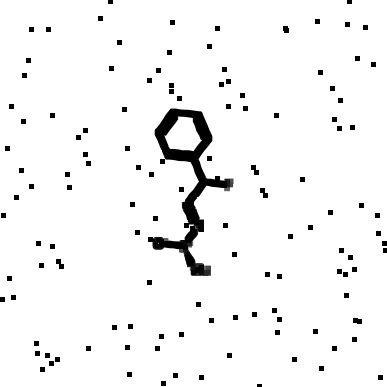 CC(C)(C)[S@@+]([O-])N=CC(F)c1ccccc1